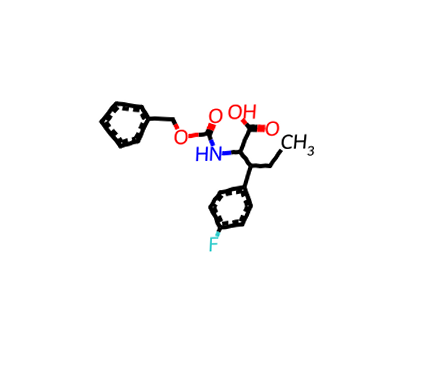 CCC(c1ccc(F)cc1)C(NC(=O)OCc1ccccc1)C(=O)O